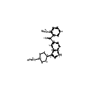 CCCCCN1CCC(c2c[nH]c3ccc(C(=O)c4ccccc4OC)cc23)CC1